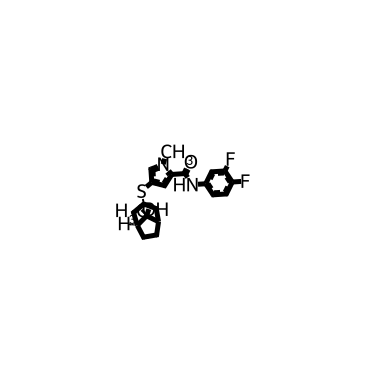 Cn1cc(S[C@@H]2CC3CC[C@@H](C2)[C@]3(C)O)cc1C(=O)Nc1ccc(F)c(F)c1